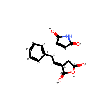 O=C1C=CC(=O)N1.O=C1CC(=CCc2ccccc2)C(=O)O1